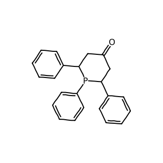 O=C1CC(c2ccccc2)P(c2ccccc2)C(c2ccccc2)C1